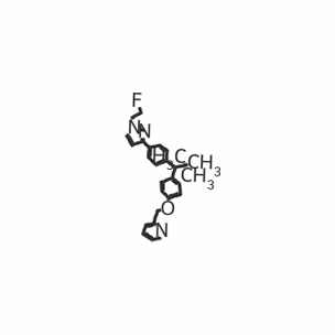 CC(C)(C)C(c1ccc(OCc2ccccn2)cc1)c1ccc(-c2ccn(CCF)n2)cc1